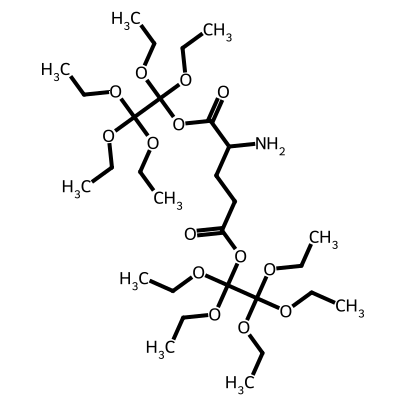 CCOC(OCC)(OCC)C(OCC)(OCC)OC(=O)CCC(N)C(=O)OC(OCC)(OCC)C(OCC)(OCC)OCC